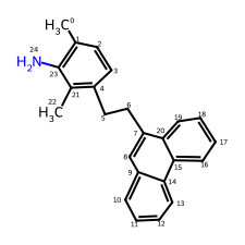 Cc1ccc(CCc2cc3ccccc3c3ccccc23)c(C)c1N